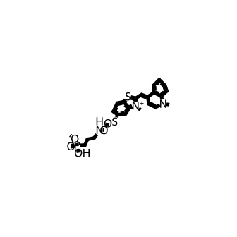 COP(=O)(O)CCCNOOSc1ccc2sc(/C=C3\C=CN(C)c4ccccc43)[n+](C)c2c1